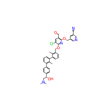 Cc1c(COc2nc(OCc3cncc(C#N)c3)c(C=O)cc2Cl)cccc1-c1cccc(-c2ccc(C(O)CN(C)C)cc2)c1C